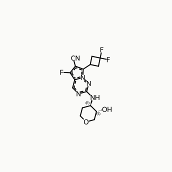 N#Cc1c(F)c2cnc(N[C@@H]3CCOC[C@H]3O)nn2c1C1CC(F)(F)C1